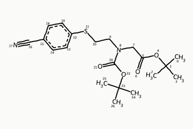 CC(C)(C)OC(=O)CN(CCSc1ccc(C#N)cc1)C(=O)OC(C)(C)C